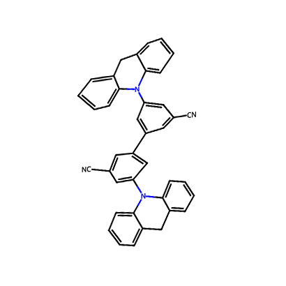 N#Cc1cc(-c2cc(C#N)cc(N3c4ccccc4Cc4ccccc43)c2)cc(N2c3ccccc3Cc3ccccc32)c1